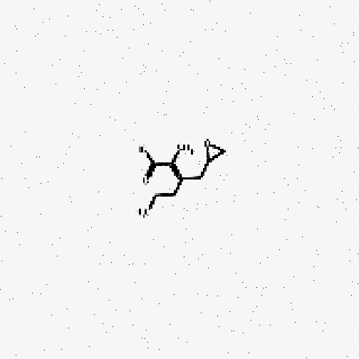 CCCC(CC1CO1)=C(C)C(=O)O